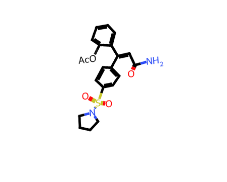 CC(=O)Oc1ccccc1C(=CC(N)=O)c1ccc(S(=O)(=O)N2CCCC2)cc1